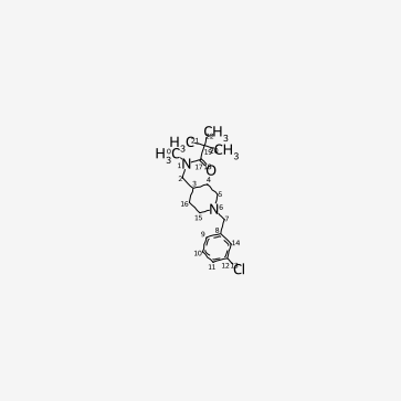 CN(CC1CCN(Cc2cccc(Cl)c2)CC1)C(=O)C(C)(C)C